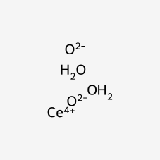 O.O.[Ce+4].[O-2].[O-2]